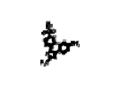 Bc1ccc(-c2cc(C(F)(F)F)nn2-c2ccc(S(N)(=O)=O)cc2)cc1